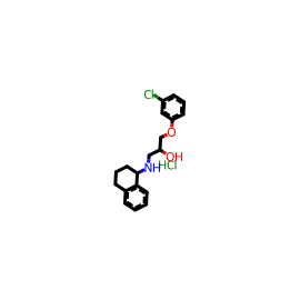 Cl.OC(CNC1CCCc2ccccc21)COc1cccc(Cl)c1